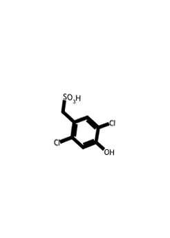 O=S(=O)(O)Cc1cc(Cl)c(O)cc1Cl